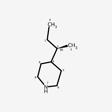 CC[C@@H](C)C1CCNCC1